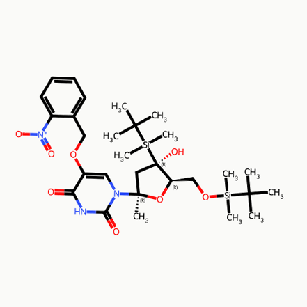 CC(C)(C)[Si](C)(C)OC[C@H]1O[C@@](C)(n2cc(OCc3ccccc3[N+](=O)[O-])c(=O)[nH]c2=O)C[C@@]1(O)[Si](C)(C)C(C)(C)C